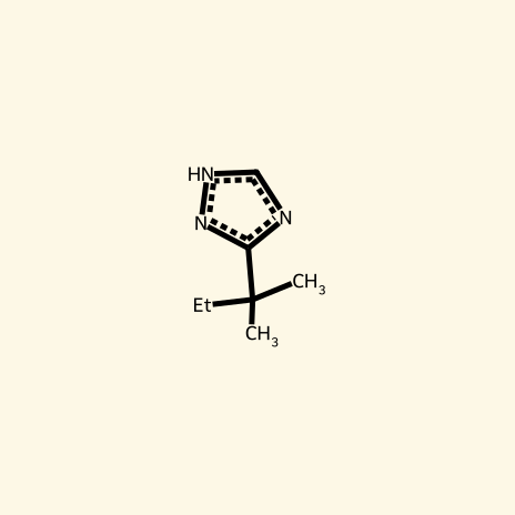 CCC(C)(C)c1nc[nH]n1